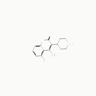 CCCc1c(C2CCNCC2)c(=O)oc2cccc(F)c12